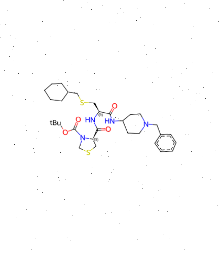 CC(C)(C)OC(=O)N1CSC[C@@H]1C(=O)N[C@@H](CSCC1CCCCC1)C(=O)NC1CCN(Cc2ccccc2)CC1